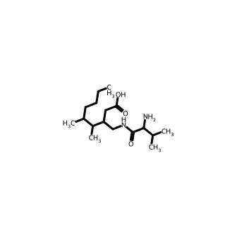 CCCCC(C)C(C)C(CNC(=O)C(N)C(C)C)CC(=O)O